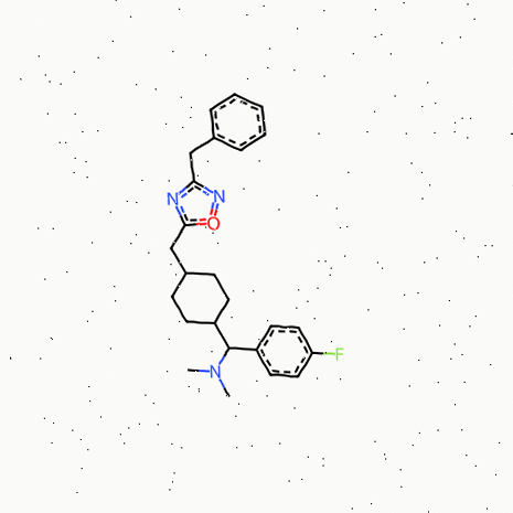 CN(C)C(c1ccc(F)cc1)C1CCC(Cc2nc(Cc3ccccc3)no2)CC1